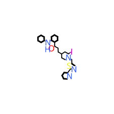 O=C(CCC1CCN(Cc2cnc(-c3ccccn3)s2)C(I)C1)c1ccccc1Nc1ccccc1